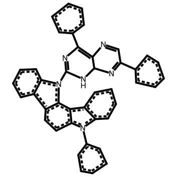 C1=NC2=C(c3ccccc3)N=C(n3c4ccccc4c4ccc5c(c6ccccc6n5-c5ccccc5)c43)NC2N=C1c1ccccc1